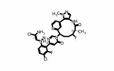 C[C@H]1C(=O)Nc2cnn(C)c2-c2ccnc(c2)C(n2cnc(-c3c(N(N)/C=C(\N)Cl)ccc(Cl)c3F)cc2=O)CCC1F